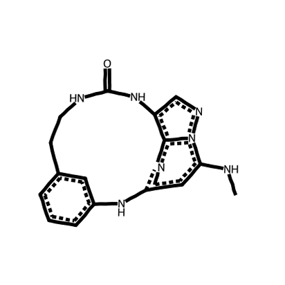 CNc1cc2nc3c(cnn13)NC(=O)NCCc1cccc(c1)N2